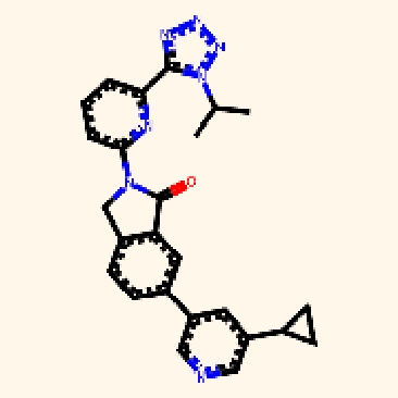 CC(C)n1nnnc1-c1cccc(N2Cc3ccc(-c4cncc(C5CC5)c4)cc3C2=O)n1